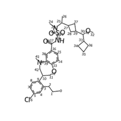 CCCc1cc(Cl)ccc1C1COc2ccc(C(=O)NS(=O)(=O)N(C)C(C)C3CC(C(OC)C4CCC4)C3)cc2N(C)C1